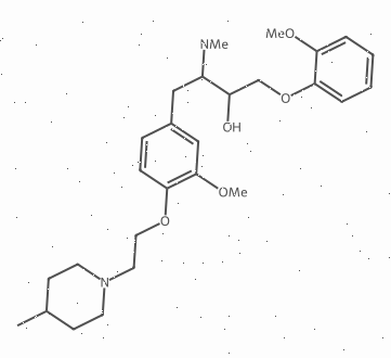 CNC(Cc1ccc(OCCN2CCC(C)CC2)c(OC)c1)C(O)COc1ccccc1OC